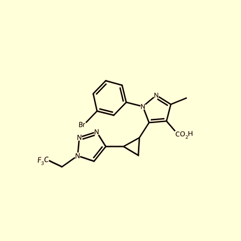 Cc1nn(-c2cccc(Br)c2)c(C2CC2c2cn(CC(F)(F)F)nn2)c1C(=O)O